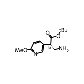 COc1ccc([C@@H](CN)C(=O)OC(C)(C)C)cn1